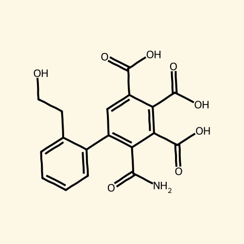 NC(=O)c1c(-c2ccccc2CCO)cc(C(=O)O)c(C(=O)O)c1C(=O)O